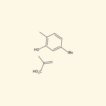 C=C(C)C(=O)O.Cc1ccc(C(C)(C)C)cc1O